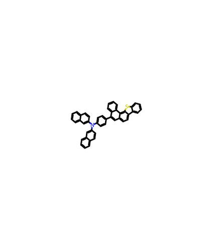 c1ccc2cc(N(c3ccc(-c4cc5ccc6c7ccccc7sc6c5c5ccccc45)cc3)c3ccc4ccccc4c3)ccc2c1